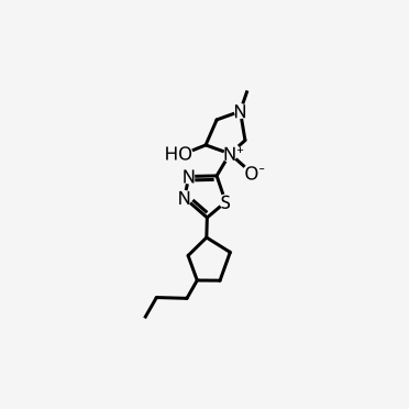 CCCC1CCC(c2nnc([N+]3([O-])CN(C)CC3O)s2)C1